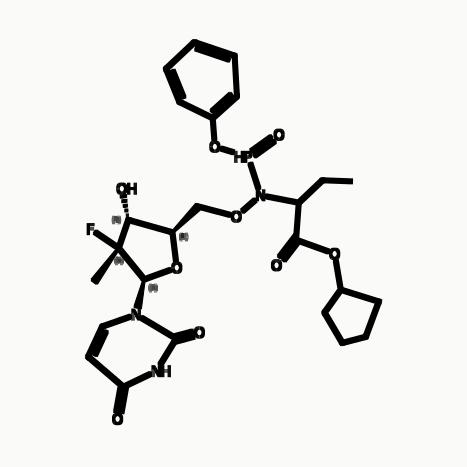 CCC(C(=O)OC1CCCC1)N(OC[C@H]1O[C@@H](n2ccc(=O)[nH]c2=O)[C@](C)(F)[C@@H]1O)[PH](=O)Oc1ccccc1